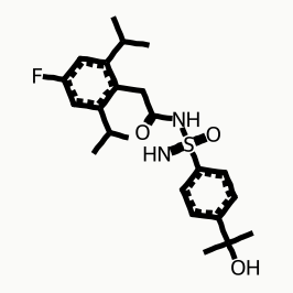 CC(C)c1cc(F)cc(C(C)C)c1CC(=O)NS(=N)(=O)c1ccc(C(C)(C)O)cc1